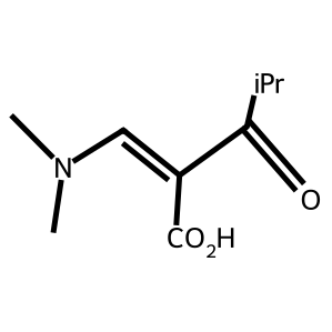 CC(C)C(=O)C(=CN(C)C)C(=O)O